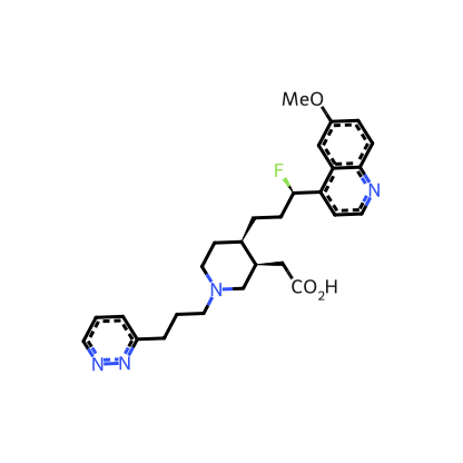 COc1ccc2nccc([C@H](F)CC[C@@H]3CCN(CCCc4cccnn4)C[C@@H]3CC(=O)O)c2c1